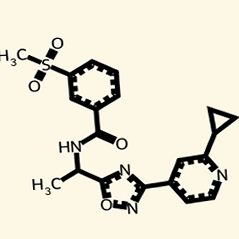 CC(NC(=O)c1cccc(S(C)(=O)=O)c1)c1nc(-c2ccnc(C3CC3)c2)no1